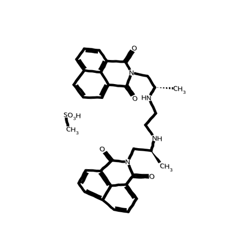 CS(=O)(=O)O.C[C@@H](CN1C(=O)c2cccc3cccc(c23)C1=O)NCCN[C@@H](C)CN1C(=O)c2cccc3cccc(c23)C1=O